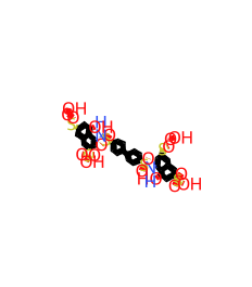 O=S(=O)(O)c1cc(O)c2c(NS(=O)(=O)c3ccc(-c4ccc(S(=O)(=O)Nc5cc(S(=O)(=O)O)cc6cc(SOOO)cc(O)c56)cc4)cc3)cc(SOOO)cc2c1